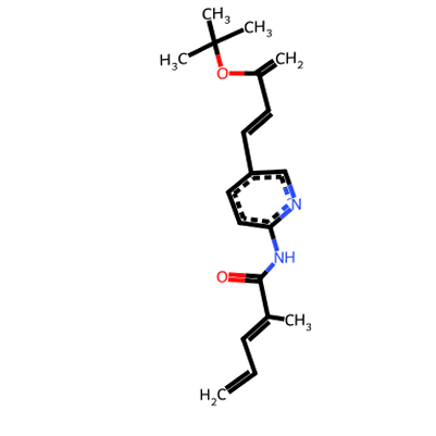 C=C/C=C(\C)C(=O)Nc1ccc(/C=C/C(=C)OC(C)(C)C)cn1